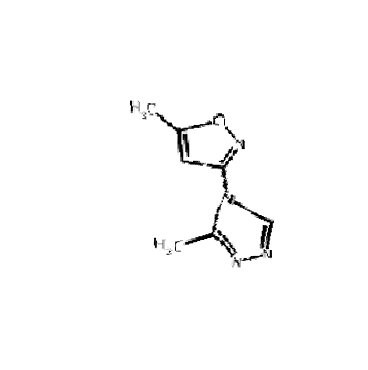 Cc1cc(-n2cnnc2C)no1